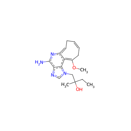 CCC(C)(O)Cn1cnc2c(N)nc3/c(c21)=C(/OC)C/C=C\C/C=3